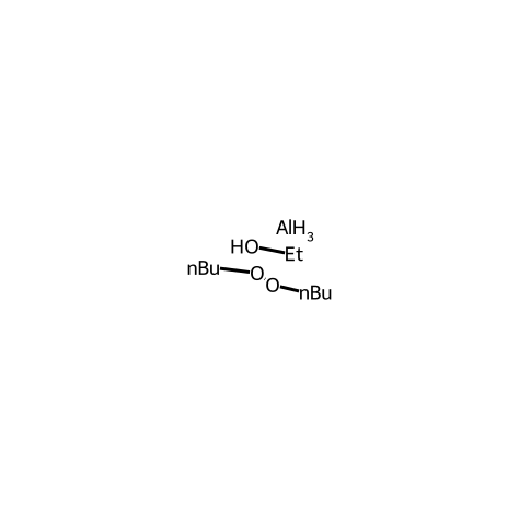 CCCCOOCCCC.CCO.[AlH3]